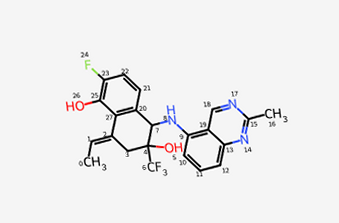 CC=C1CC(O)(C(F)(F)F)C(Nc2cccc3nc(C)ncc23)c2ccc(F)c(O)c21